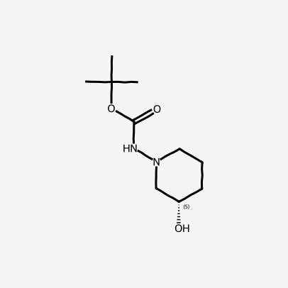 CC(C)(C)OC(=O)NN1CCC[C@H](O)C1